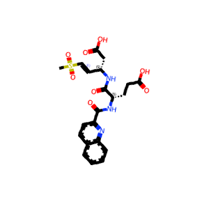 CS(=O)(=O)/C=C/[C@H](CC(=O)O)NC(=O)[C@H](CCC(=O)O)NC(=O)c1ccc2ccccc2n1